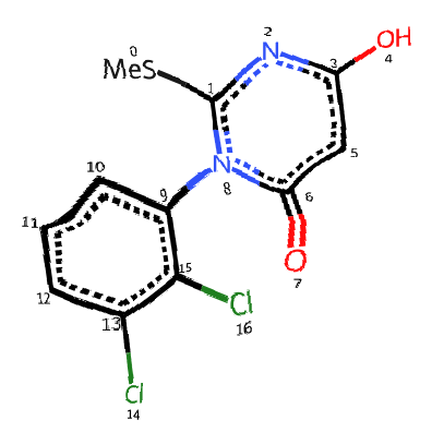 CSc1nc(O)cc(=O)n1-c1cccc(Cl)c1Cl